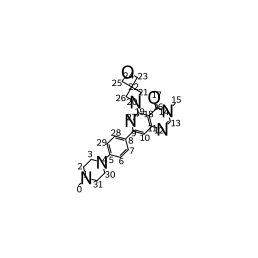 CN1CCN(c2ccc(-c3cc4ncn(C)c(=O)c4c(N4CC5(COC5)C4)n3)cc2)CC1